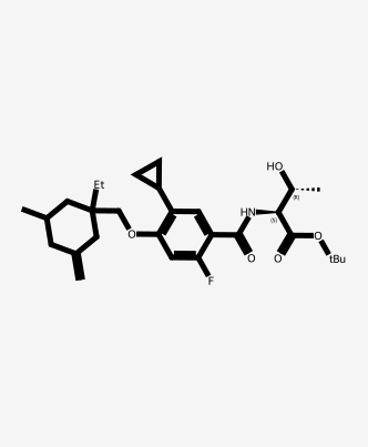 C=C1CC(C)CC(CC)(COc2cc(F)c(C(=O)N[C@H](C(=O)OC(C)(C)C)[C@@H](C)O)cc2C2CC2)C1